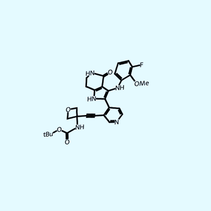 COc1c(F)cccc1Nc1c(-c2ccncc2C#CC2(NC(=O)OC(C)(C)C)COC2)[nH]c2c1C(=O)NCC2